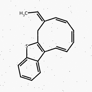 C/C=C1/C=C\C=C/C=C/c2c(sc3ccccc23)C1